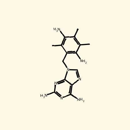 Cc1c(C)c(N)c(Cn2cnc3c(N)nc(N)nc32)c(C)c1N